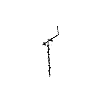 CCCCCCCC/C=C\CCCCCCCC(=O)NCCN(CCNC(=O)CC)CCNC(=O)CCOCCOCCOCCOCCOCCOCCOCCOCCOCCC